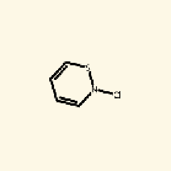 ClN1[C]=CC=CS1